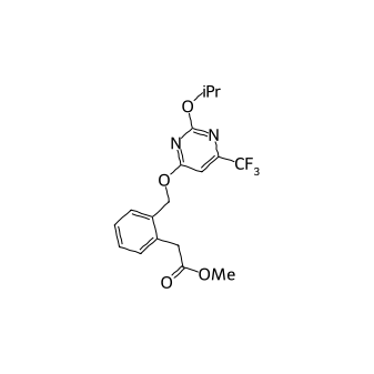 COC(=O)Cc1ccccc1COc1cc(C(F)(F)F)nc(OC(C)C)n1